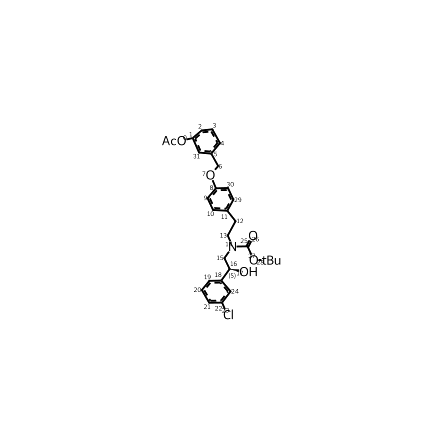 CC(=O)Oc1cccc(COc2ccc(CCN(C[C@@H](O)c3cccc(Cl)c3)C(=O)OC(C)(C)C)cc2)c1